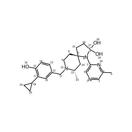 Cc1cncc(N2[C@@]3(CCN(Cc4ccc(O)c(C5CC5)c4)[C@@H](C)C3)CCS2(O)O)n1